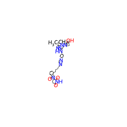 CC(C)c1cnn2c(NCc3ccc(N4CCN(CCCCCc5cccc6c5CN(C5CCC(=O)NC5=O)C6=O)CC4)cc3)cc(N3CCC[C@H](O)C3)nc12